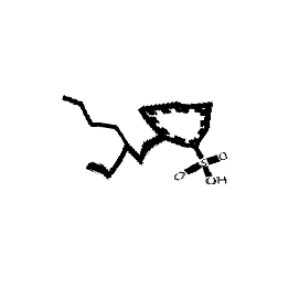 CCCCC(CC)Cc1ccccc1S(=O)(=O)O